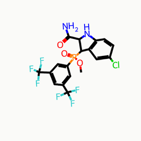 COP(=O)(c1cc(C(F)(F)F)cc(C(F)(F)F)c1)C1c2cc(Cl)ccc2NC1C(N)=O